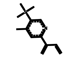 C=CC(=C)c1cc(C)c([Si](C)(C)C)cn1